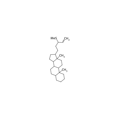 C=CC(CCC1CCC2C3CCC4CCCCC4(C)C3CCC12C)SC